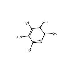 NC1=C(N)N(O)C(O)N=C1O